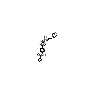 O=C(Nc1ccc(-c2nnc(NCCCN3CCOCC3)o2)cc1)C1CCC1